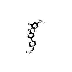 CCN1CCN(c2ccc(N[C@H]3NC=C(C)C=C3F)nc2)CC1